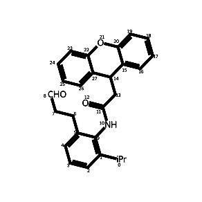 CC(C)c1cccc(CCC=O)c1NC(=O)CC1c2ccccc2Oc2ccccc21